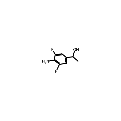 CC(O)c1cc(F)c(N)c(F)c1